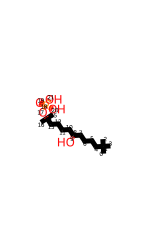 CC(C)(C)CCCCC(O)CCCCC(C)(C)OP(=O)(O)O